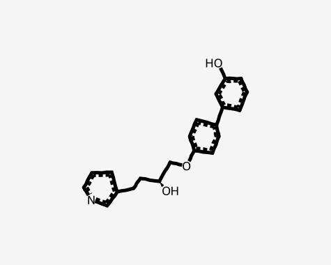 Oc1cccc(-c2ccc(OC[C@H](O)CCc3cccnc3)cc2)c1